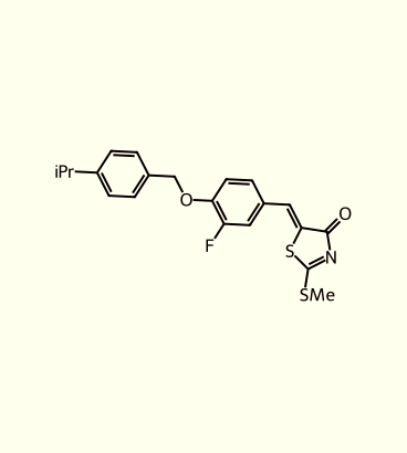 CSC1=NC(=O)C(=Cc2ccc(OCc3ccc(C(C)C)cc3)c(F)c2)S1